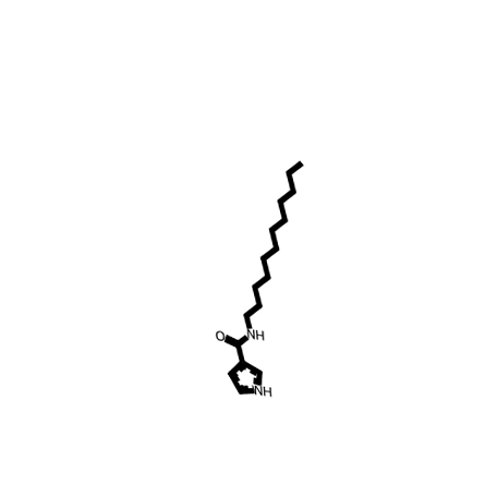 CCCCCCCCCCCCNC(=O)c1cc[nH]c1